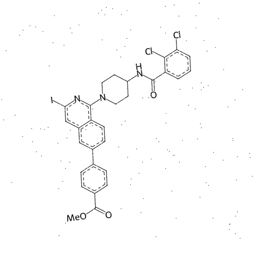 COC(=O)c1ccc(-c2ccc3c(N4CCC(NC(=O)c5cccc(Cl)c5Cl)CC4)nc(I)cc3c2)cc1